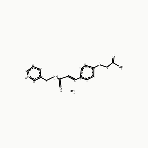 Cl.O=C(O)COc1ccc(/C=C/C(=O)NCc2cccnc2)cc1